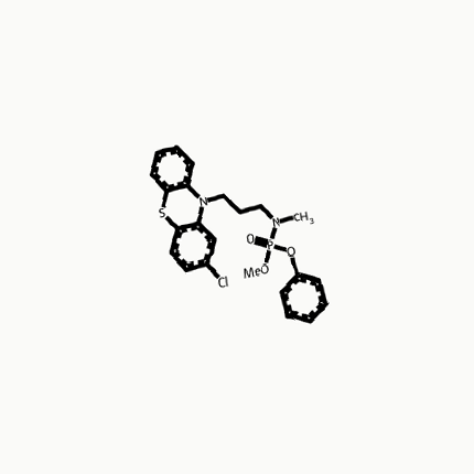 COP(=O)(Oc1ccccc1)N(C)CCCN1c2ccccc2Sc2ccc(Cl)cc21